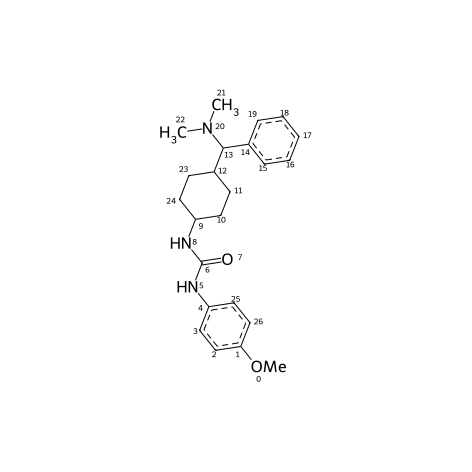 COc1ccc(NC(=O)NC2CCC(C(c3ccccc3)N(C)C)CC2)cc1